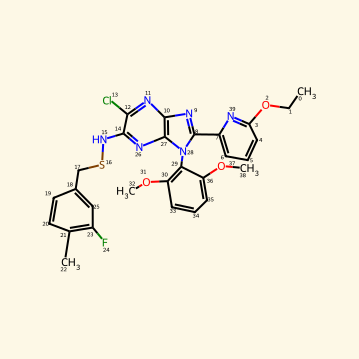 CCOc1cccc(-c2nc3nc(Cl)c(NSCc4ccc(C)c(F)c4)nc3n2-c2c(OC)cccc2OC)n1